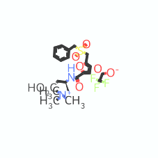 C[N+](C)(C)C[C@@H](CC(=O)O)NC(=O)c1ccc(CS(=O)(=O)Cc2ccccc2)o1.O=C([O-])C(F)(F)F